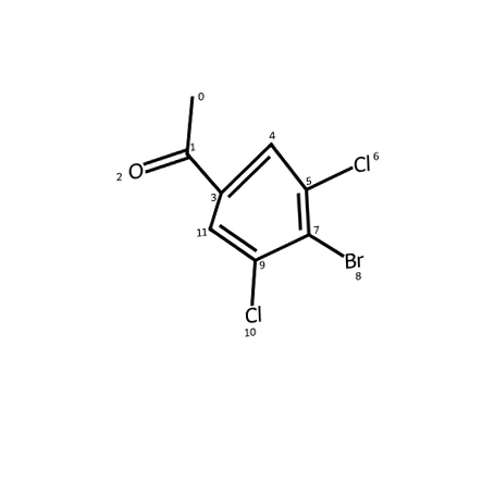 CC(=O)c1cc(Cl)c(Br)c(Cl)c1